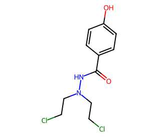 O=C(NN(CCCl)CCCl)c1ccc(O)cc1